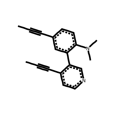 CC#Cc1ccc(N(C)C)c(-c2cnccc2C#CC)c1